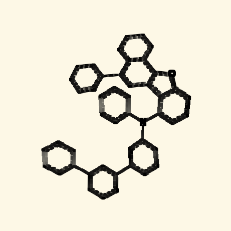 c1ccc(-c2cccc(-c3cccc(N(c4ccccc4)c4cccc5oc6c7ccccc7c(-c7ccccc7)cc6c45)c3)c2)cc1